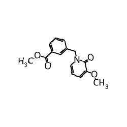 COC(=O)c1cccc(Cn2cccc(OC)c2=O)c1